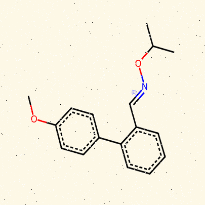 COc1ccc(-c2ccccc2/C=N/OC(C)C)cc1